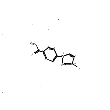 COC(=O)c1ccc(-n2ccc(I)n2)cc1